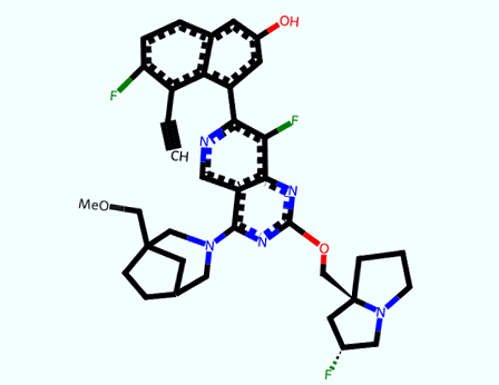 C#Cc1c(F)ccc2cc(O)cc(-c3ncc4c(N5CC6CCC(COC)(C6)C5)nc(OC[C@@]56CCCN5C[C@H](F)C6)nc4c3F)c12